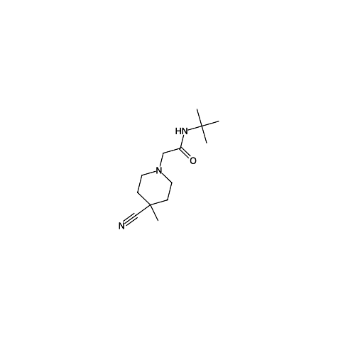 CC1(C#N)CCN(CC(=O)NC(C)(C)C)CC1